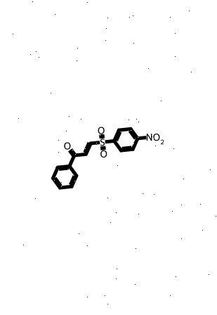 O=C(/C=C/S(=O)(=O)c1ccc([N+](=O)[O-])cc1)c1ccccc1